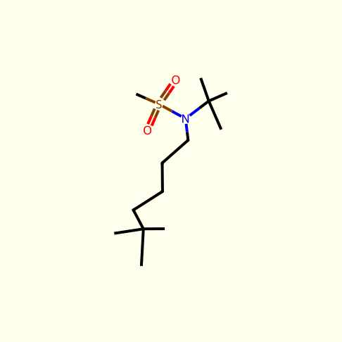 CC(C)(C)CCCCN(C(C)(C)C)S(C)(=O)=O